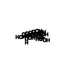 O=C(OC(O)[C@@H](O)[C@@H](O)[C@H](O)[C@H](O)CO)OC(O)[C@H](O)[C@@H](O)[C@H](O)[C@H](O)CO